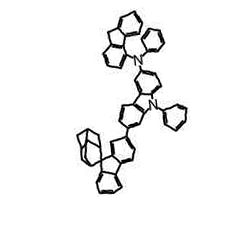 c1ccc(N(c2ccc3c(c2)c2ccc(-c4ccc5c(c4)C4(c6ccccc6-5)C5CC6CC(C5)CC4C6)cc2n3-c2ccccc2)c2cccc3c2-c2ccccc2C3)cc1